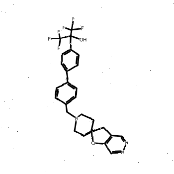 OC(c1ccc(-c2ccc(CN3CCC4(CC3)Cc3cnncc3O4)cc2)cc1)(C(F)(F)F)C(F)(F)F